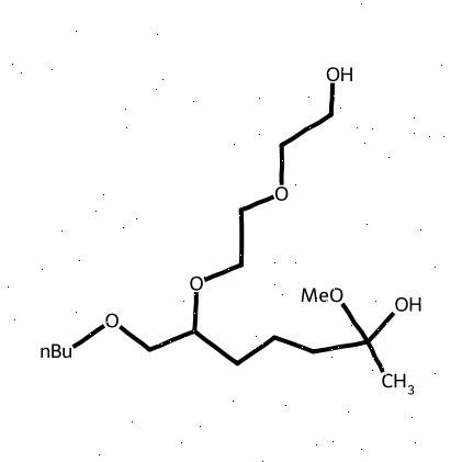 CCCCOCC(CCCC(C)(O)OC)OCCOCCO